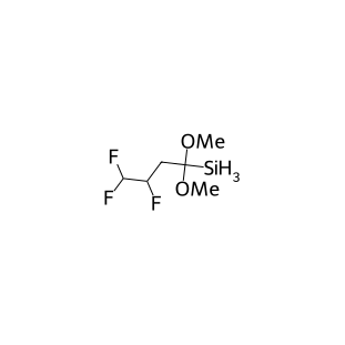 COC([SiH3])(CC(F)C(F)F)OC